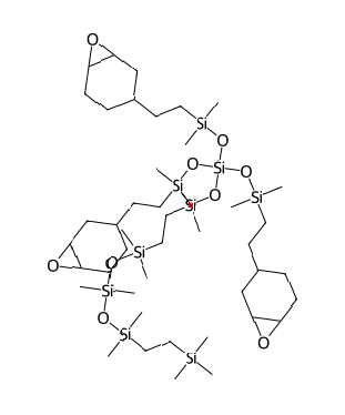 C[Si](C)(C)CC[Si](C)(C)O[Si](C)(C)O[Si](C)(C)CC[Si](C)(C)O[Si](O[Si](C)(C)CCC1CCC2OC2C1)(O[Si](C)(C)CCC1CCC2OC2C1)O[Si](C)(C)CCC1CCC2OC2C1